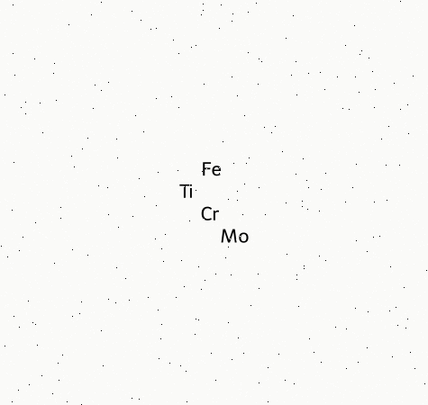 [Cr].[Fe].[Mo].[Ti]